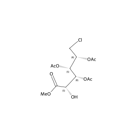 COC(=O)[C@@H](O)[C@@H](OC(C)=O)[C@H](OC(C)=O)[C@H](CCl)OC(C)=O